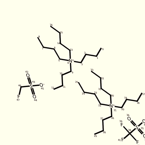 CCCC[N+](CCCC)(CCCC)CCCC.CCCC[N+](CCCC)(CCCC)CCCC.O=S(=O)([O-])C(F)(F)F.O=S(=O)([O-])CF